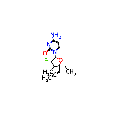 C=C=C[C@]1(CC)O[C@@H](n2ccc(N)nc2=O)[C@@H](F)[C@@H]1C